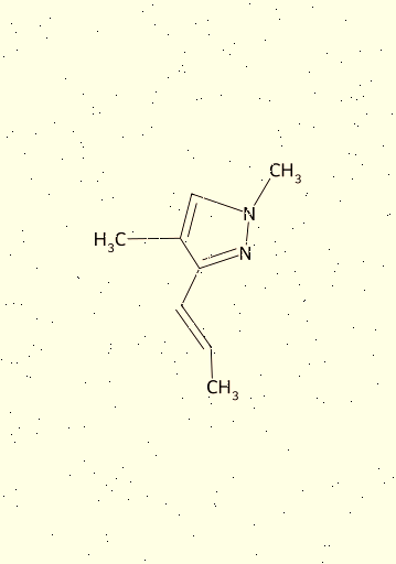 C/C=C/c1nn(C)cc1C